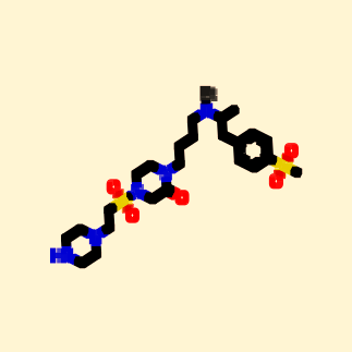 CCN(CCCCN1CCN(S(=O)(=O)CCN2CCNCC2)CC1=O)C(C)Cc1ccc(S(C)(=O)=O)cc1